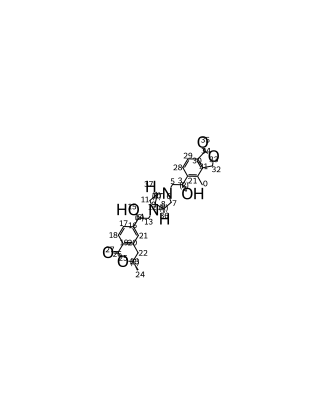 Cc1c([C@@H](O)CN2C[C@H]3C[C@@H]2CN3C[C@@H](O)c2ccc3c(c2)C[C@@H](C)OC3=O)ccc2c1COC2=O